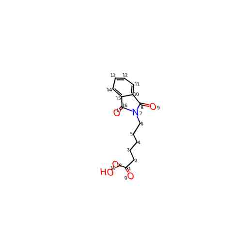 O=C(CCCCCN1C(=O)c2ccccc2C1=O)OO